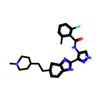 Cc1cccc(F)c1C(=O)Nc1c[nH]nc1-c1nc2cc(CCC3CCN(C)CC3)ccc2[nH]1